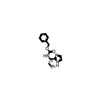 CC(C)C[C@H](NC(=O)OCc1ccccc1)c1ncc[nH]1